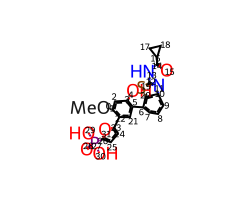 COc1cc(O)c(-c2cccc3nc(NC(=O)C4CC4)sc23)cc1-c1ccc(P(=O)(O)O)o1